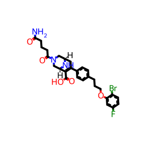 NC(=O)CCCC(=O)N1C[C@H]2CC(c3ccc(CCCOc4cc(F)ccc4Br)cc3)=C(C(=O)O)[C@@H](C1)N2